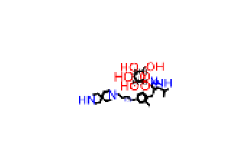 Cc1cc(/C=C/CCN2CCC3(CCNCC3)CC2)ccc1Cc1c(O[C@H]2O[C@H](CO)[C@@H](O)[C@H](O)[C@H]2O)n[nH]c1C(C)C